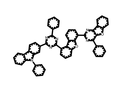 c1ccc(-c2nc(-c3ccc4c5ccccc5n(-c5ccccc5)c4c3)nc(-c3cccc4oc5c(-c6nc(-c7ccccc7)c7oc8ccccc8c7n6)cccc5c34)n2)cc1